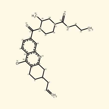 C=CCC1CCc2c(nc3cc(C(=O)N4CCN(C(=O)OCCC)CC4C)ccc3c2Cl)C1